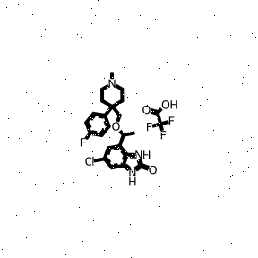 CC(OCC1(c2ccc(F)cc2)CCN(C)CC1)c1cc(Cl)cc2[nH]c(=O)[nH]c12.O=C(O)C(F)(F)F